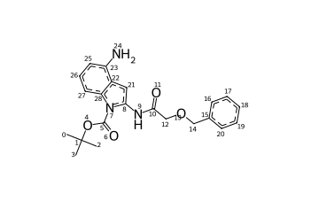 CC(C)(C)OC(=O)n1c(NC(=O)COCc2ccccc2)cc2c(N)cccc21